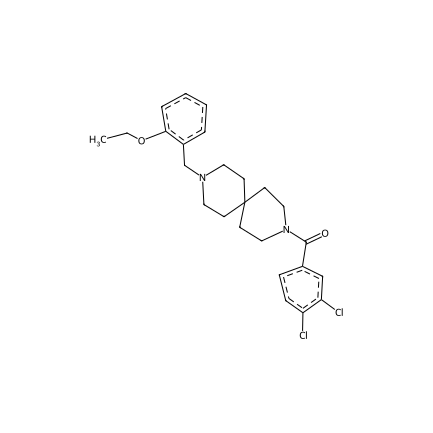 CCOc1ccccc1CN1CCC2(CC1)CCN(C(=O)c1ccc(Cl)c(Cl)c1)CC2